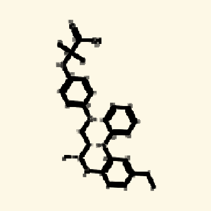 CCc1ccc(O[C@H](C)CCOc2ccc(OC(C)(C)C(=O)O)cc2)c(Sc2ccccc2)c1